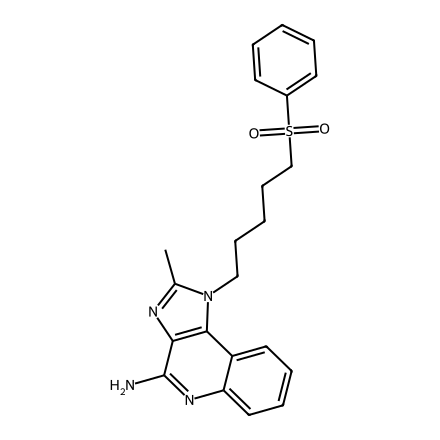 Cc1nc2c(N)nc3ccccc3c2n1CCCCCS(=O)(=O)c1ccccc1